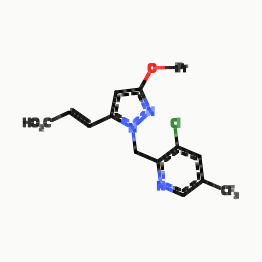 CC(C)Oc1cc(/C=C/C(=O)O)n(Cc2ncc(C(F)(F)F)cc2Cl)n1